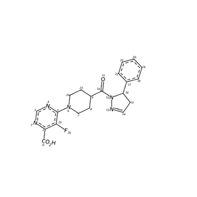 O=C(O)c1ncnc(N2CCC(C(=O)N3N=CCC3c3ccccc3)CC2)c1F